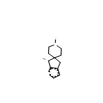 CC(C)N1CCC2(CC1)Cc1ccsc1[C@H]2N